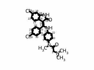 CN(C)CC(=O)N(C)c1ccc(N/C(=C2\C(=O)Nc3cc(Cl)ccc32)c2ccc(Cl)cc2)cc1